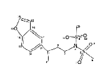 CC(CCN(S(C)(=O)=O)S(C)(=O)=O)c1ccc2occc2c1